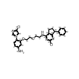 Nc1ccc(-n2cnc(Cl)c2)c(OCCOCCNc2nc(Cl)nc3c2CCC3c2ccccc2)c1